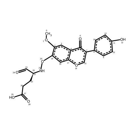 COc1cc2c(=O)c(-c3ccc(O)cc3)coc2cc1ON[C@H](C=O)CCC(=O)O